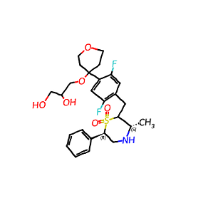 C[C@@H]1NC[C@@H](c2ccccc2)S(=O)(=O)C1Cc1cc(F)c(C2(OCC(O)CO)CCOCC2)cc1F